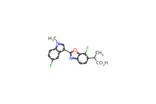 CC(C(=O)O)c1ccc2nc(-c3cn(C)c4ccc(F)cc34)oc2c1F